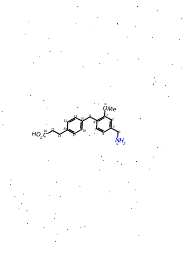 COc1cc(CN)ccc1Cc1ccc(CCC(=O)O)cc1